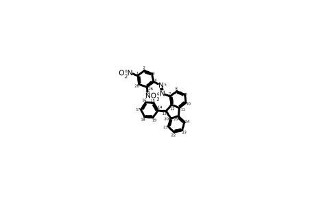 O=[N+]([O-])c1ccc(N=Nc2cccc3c2C(c2ccccc2)c2ccccc2-3)c([N+](=O)[O-])c1